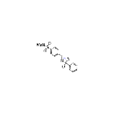 CNS(=O)(=O)c1ccc(/C=N/S(=O)(=O)c2ccccc2)cc1